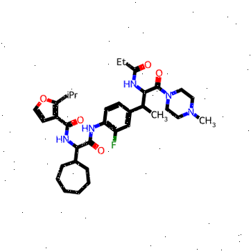 CCC(=O)NC(C(=O)N1CCN(C)CC1)C(C)c1ccc(NC(=O)C(NC(=O)c2ccoc2C(C)C)C2CCCCCC2)c(F)c1